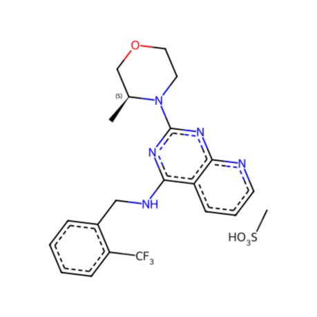 CS(=O)(=O)O.C[C@H]1COCCN1c1nc(NCc2ccccc2C(F)(F)F)c2cccnc2n1